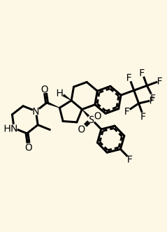 CC1C(=O)NCCN1C(=O)[C@@H]1CC[C@@]2(S(=O)(=O)c3ccc(F)cc3)c3ccc(C(F)(C(F)(F)F)C(F)(F)F)cc3CC[C@@H]12